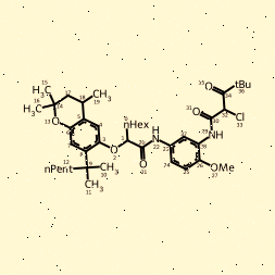 CCCCCCC(Oc1cc2c(cc1C(C)(C)CCCCC)OC(C)(C)CC2C)C(=O)Nc1ccc(OC)c(NC(=O)C(Cl)C(=O)C(C)(C)C)c1